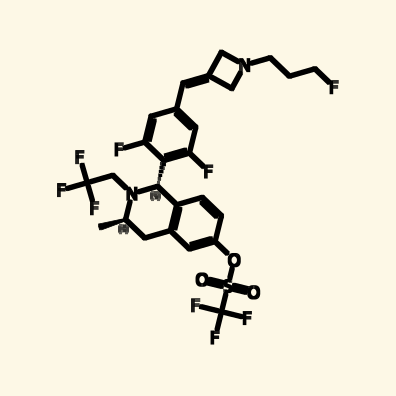 C[C@@H]1Cc2cc(OS(=O)(=O)C(F)(F)F)ccc2[C@@H](c2c(F)cc(C=C3CN(CCCF)C3)cc2F)N1CC(F)(F)F